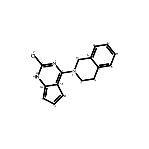 Clc1nc(N2CCc3ccccc3C2)c2cccc-2[nH]1